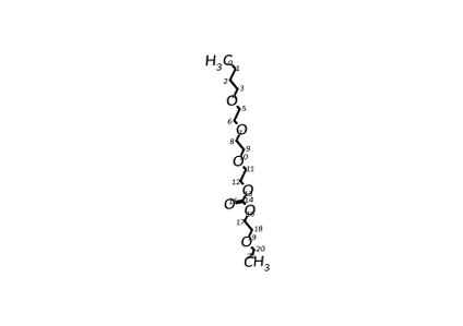 CCCCOCCOCCOCCOC(=O)OCCOCC